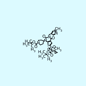 Cn1cc(Cn2c(=O)c3cc(S(=O)(=O)N(C(=O)OC(C)(C)C)C4(C)CC4)sc3n(C3CCN(C(=O)OC(C)(C)C)CC3)c2=O)cn1